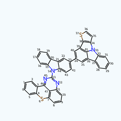 c1ccc2c(c1)Sc1cccc3nc(-n4c5ccccc5c5cc(-c6cc7c8ccccc8n8c9ccsc9c(c6)c78)ccc54)nc-2c13